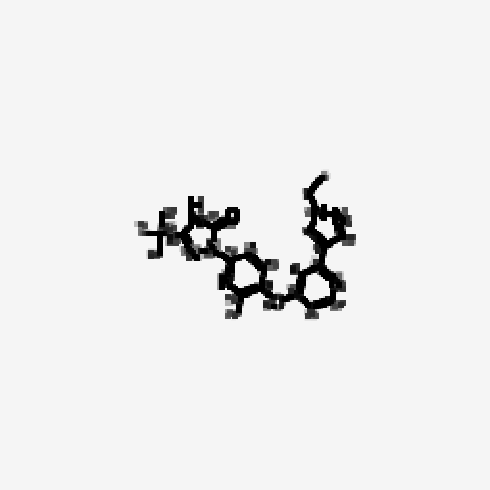 CCn1cc(-c2cc(Oc3ccc(-n4nc(C(C)(C)C)[nH]c4=O)nc3C)ccn2)cn1